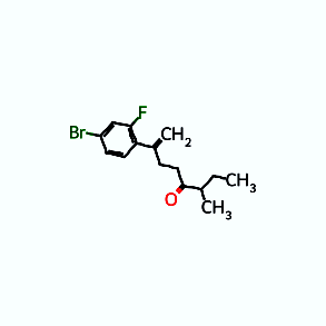 C=C(CCC(=O)C(C)CC)c1ccc(Br)cc1F